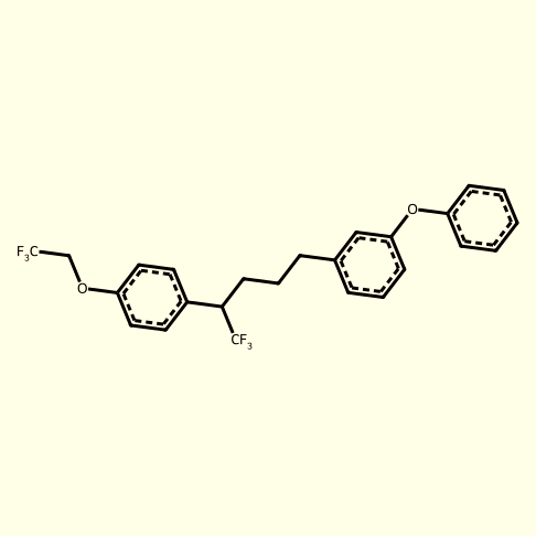 FC(F)(F)COc1ccc(C(CCCc2cccc(Oc3ccccc3)c2)C(F)(F)F)cc1